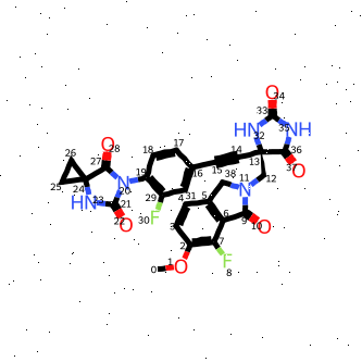 COc1ccc2c(c1F)C(=O)N(C[C@@]1(C#Cc3ccc(N4C(=O)NC5(CC5)C4=O)c(F)c3)NC(=O)NC1=O)C2